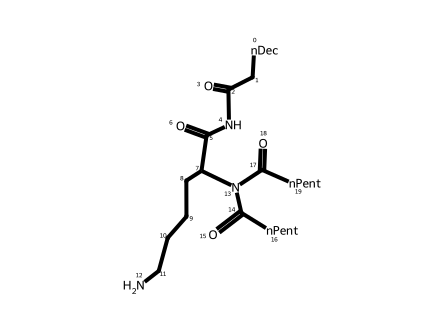 CCCCCCCCCCCC(=O)NC(=O)C(CCCCN)N(C(=O)CCCCC)C(=O)CCCCC